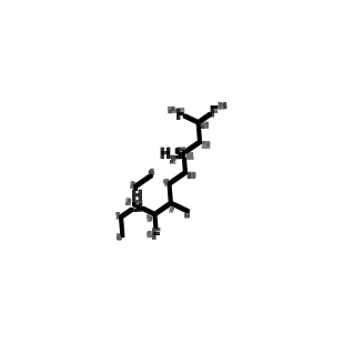 CC[SiH](CC)C(F)C(C)CC[SiH2]CC(F)F